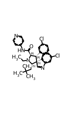 CCN1[C@@H](CC(C)(C)C)[C@]2(C=Nc3cc(Cl)ccc32)[C@@H](c2cccc(Cl)c2)[C@@H]1C(=O)Nc1ccncc1